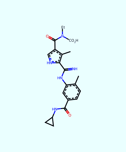 CCN(C(=O)O)C(=O)c1c[nH]c(C(=N)Nc2cc(C(=O)NC3CC3)ccc2C)c1C